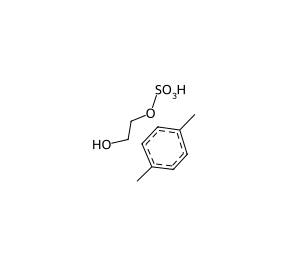 Cc1ccc(C)cc1.O=S(=O)(O)OCCO